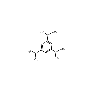 [CH2]C(C)c1cc(C(C)C)cc(C(C)C)c1